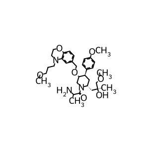 COCCCN1CCOc2ccc(CO[C@H]3CN(C(=O)C(C)N)[C@@H](C[C@](C)(O)COC)C[C@@H]3c3ccc(OC)cc3)cc21